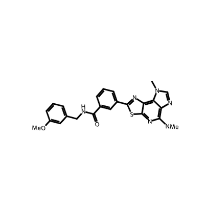 CNc1nc2sc(-c3cccc(C(=O)NCc4cccc(OC)c4)c3)nc2c2c1ncn2C